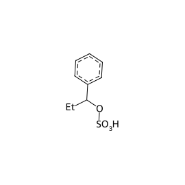 CCC(OS(=O)(=O)O)c1ccccc1